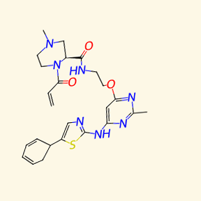 C=CC(=O)N1CCN(C)C[C@H]1C(=O)NCCOc1cc(Nc2ncc(C3C=CC=CC3)s2)nc(C)n1